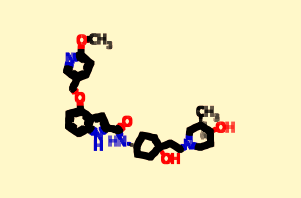 COc1ccc(COc2cccc3[nH]c(C(=O)N[C@H]4CC[C@](O)(CCN5CC[C@H](O)[C@@H](C)C5)CC4)cc23)cn1